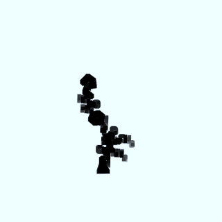 CCN1C(=O)[C@@H](CNc2ccc(NC(=O)NCCN3CCCC3)cc2)S/C1=C(/N)C(=O)NCC1CC1